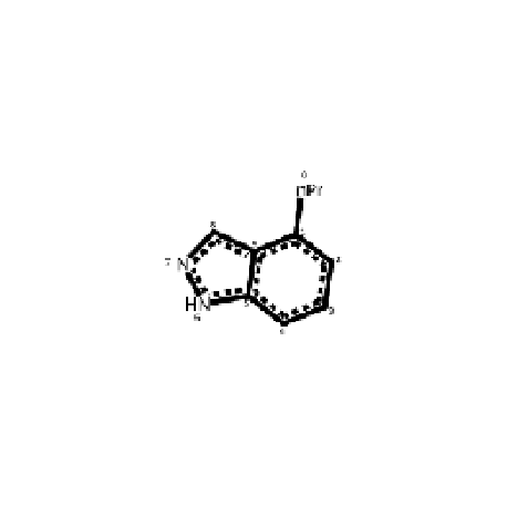 CCCc1cccc2[nH]ncc12